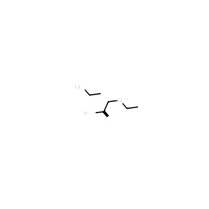 CCN[C@@H](CCS)C(=O)O